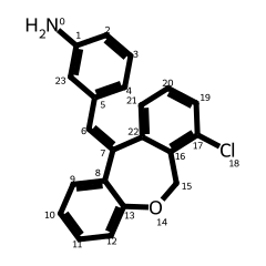 Nc1cccc(C=C2c3ccccc3OCc3c(Cl)cccc32)c1